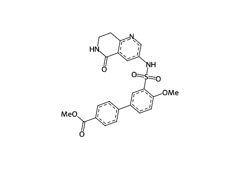 COC(=O)c1ccc(-c2ccc(OC)c(S(=O)(=O)Nc3cnc4c(c3)C(=O)NCC4)c2)cc1